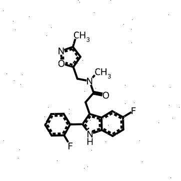 Cc1cc(CN(C)C(=O)Cc2c(-c3ccccc3F)[nH]c3ccc(F)cc23)on1